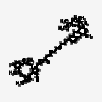 CN[C@H](C)C(=O)N[C@@H](C(=O)N1Cc2cc(OCCOCCOCCC(=O)NCCn3nc(C#N)c4c3CN(C)C(=O)c3ccc(F)cc3[C@@H](C)Oc3cc-4cnc3N)ccc2C[C@@H]1C(N)=O)C(C)(C)C